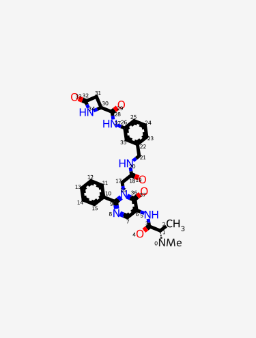 CN[C@@H](C)C(=O)Nc1cnc(-c2ccccc2)n(CC(=O)NCc2cccc(NC(=O)C3CC(=O)N3)c2)c1=O